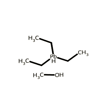 CO.C[CH2][PbH]([CH2]C)[CH2]C